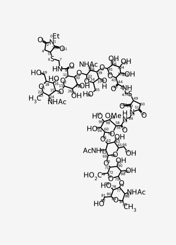 CCN1C(=O)CC(SCNC(=O)C2OC(OC3C(O)C(CO)O[C@H](C)C3NC(C)=O)C(O)C(O)C2OC2OC(CO)C(O)C(OC3OC(C(=O)NCSC4CC(=O)N(CNC(=O)C5OC(OC6C(O)C(CO)OC(OC7C(C(=O)O)OC(OC8C(O)C(CO)O[C@@H](C)C8NC(C)=O)C(O)C7O)C6NC(C)=O)C(O)C(O)C5OC)C4=O)C(O)C(O)C3O)C2NC(C)=O)C1=O